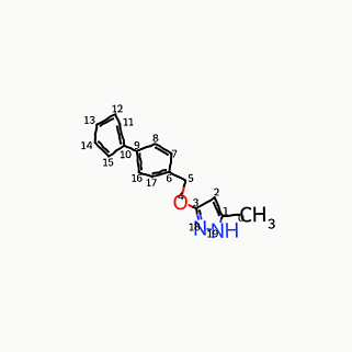 Cc1cc(OCc2ccc(-c3ccccc3)cc2)n[nH]1